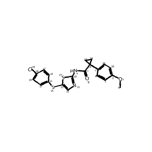 COc1ccc(C2(C(=O)Nc3ncc(Sc4ccc(Cl)cc4)s3)CC2)cc1